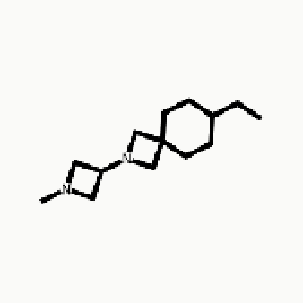 CCC1CCC2(CC1)CN(C1CN(C)C1)C2